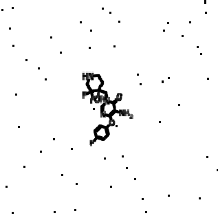 Nc1c(Oc2ccc(F)cc2)ncn(C[C@@]2(O)CCNCC2(F)F)c1=O